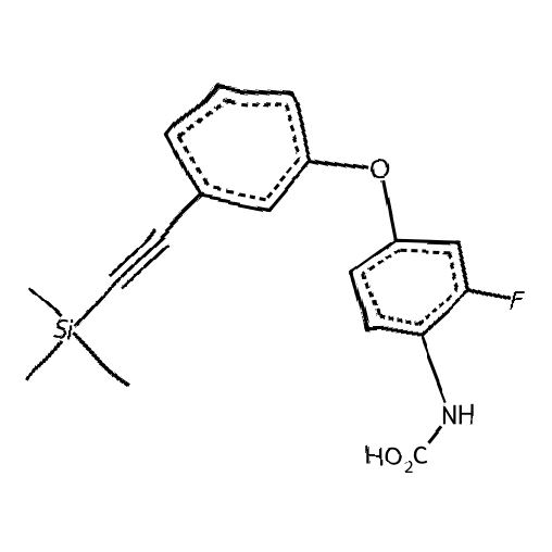 C[Si](C)(C)C#Cc1cccc(Oc2ccc(NC(=O)O)c(F)c2)c1